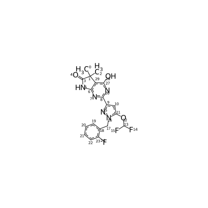 CC1(C)C(=O)Nc2nc(-c3cc(OC(F)F)n(Cc4ccccc4F)n3)nc(O)c21